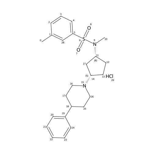 Cc1cccc(S(=O)(=O)N(C)[C@@H]2CC[C@H](N3CCC(c4ccccc4)CC3)C2)c1.Cl